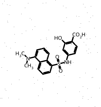 CN(C)c1cccc2c(S(=O)(=O)Nc3ccc(C(=O)O)c(O)c3)cccc12